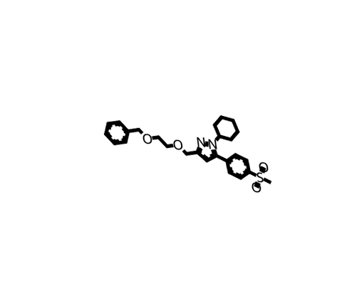 CS(=O)(=O)c1ccc(-c2cc(COCCOCc3ccccc3)nn2C2CCCCC2)cc1